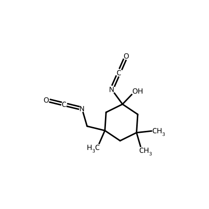 CC1(C)CC(C)(CN=C=O)CC(O)(N=C=O)C1